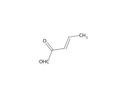 CC=CC(=O)[C]=O